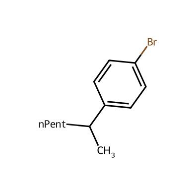 CCCCCC(C)c1ccc(Br)cc1